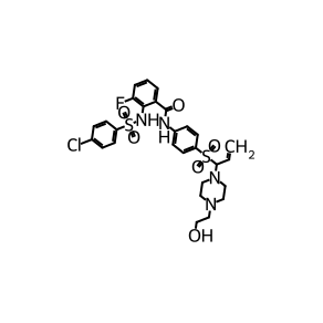 C=CC(N1CCN(CCO)CC1)S(=O)(=O)c1ccc(NC(=O)c2cccc(F)c2NS(=O)(=O)c2ccc(Cl)cc2)cc1